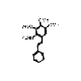 COc1cc(C=Cc2ccccc2)c(NC(C)=O)c(OC)c1OC